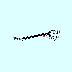 CCCCC/C=C/C/C=C/CCCCCCCCC(O)(CC(=O)O)CC(=O)O